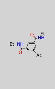 CCNC(=O)c1cc(C(C)=O)cc(C(=O)NCC)c1